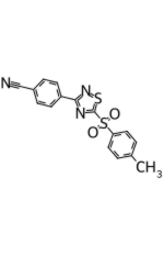 Cc1ccc(S(=O)(=O)c2nc(-c3ccc(C#N)cc3)ns2)cc1